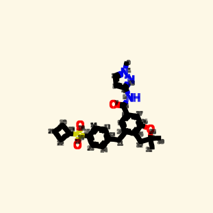 Cn1ccc(NC(=O)c2cc(Cc3ccc(S(=O)(=O)C4CCC4)cc3)c3c(c2)OC(C)(C)C3)n1